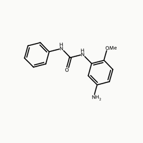 COc1ccc(N)cc1NC(=O)Nc1ccccc1